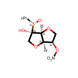 CCC[S@@+]([O-])[C@]1(O)CO[C@@H]2[C@H](O[N+](=O)[O-])CO[C@@H]21